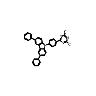 Clc1nc(Cl)nc(-c2ccc(-n3c4ccc(-c5ccccc5)cc4c4cc(-c5ccccc5)ccc43)cc2)n1